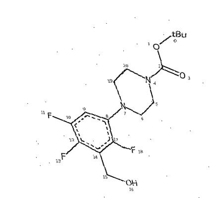 CC(C)(C)OC(=O)N1CCN(c2cc(F)c(F)c(CO)c2F)CC1